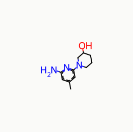 Cc1cc(N)nc(N2CCCC(O)C2)c1